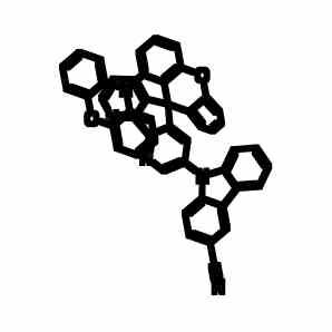 N#Cc1ccc2c(c1)c1ccccc1n2-c1cnc2c(c1)C1(c3ccccc3Oc3cccc(N4c5ccccc5Oc5ccccc54)c31)c1cccnc1-2